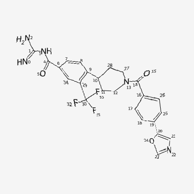 N=C(N)NC(=O)c1ccc(C2CCN(C(=O)c3ccc(-c4cnco4)cc3)CC2)c(C(F)(F)F)c1